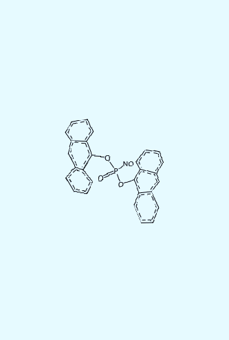 O=NP(=O)(Oc1c2ccccc2cc2ccccc12)Oc1c2ccccc2cc2ccccc12